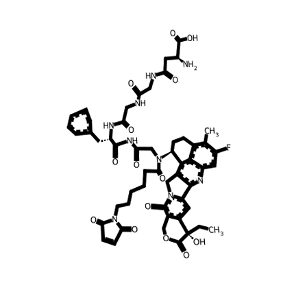 CC[C@@]1(O)C(=O)OCc2c1cc1n(c2=O)Cc2c-1nc1cc(F)c(C)c3c1c2[C@@H](N(CC(=O)NC(=O)[C@H](Cc1ccccc1)NC(=O)CNC(=O)CNC(=O)C[C@H](N)C(=O)O)C(=O)CCCCCN1C(=O)C=CC1=O)CC3